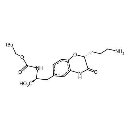 CC(C)(C)COC(=O)N[C@@H](Cc1ccc2c(c1)NC(=O)[C@@H](CCCN)O2)C(=O)O